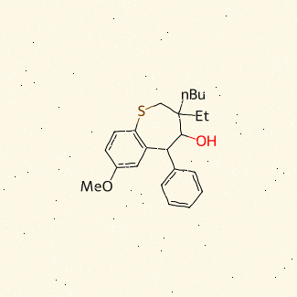 CCCCC1(CC)CSc2ccc(OC)cc2C(c2ccccc2)C1O